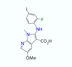 COc1cnc2c(c1)c(C(=O)O)c(Nc1ccc(I)cc1F)n2C